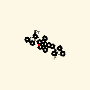 CC(C)c1ccc(N(c2ccc3cc4c(cc3c2)C(c2ccccc2)(c2ccccc2)c2c-4c3ccccc3c3cc(N(c4ccc(C(C)C)cc4)c4cccc5c4oc4ccccc45)ccc23)c2cccc3c2oc2ccccc23)cc1